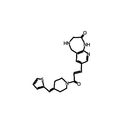 O=C1CNCc2cc(C=CC(=O)N3CCC(=Cc4cccs4)CC3)cnc2N1